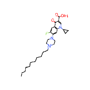 CCCCCCCCCCCN1CCN(c2cc3c(cc2F)c(=O)c(C(=O)O)cn3C2CC2)CC1